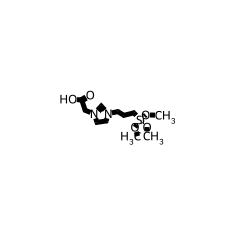 CO[Si](CCCN1C=[N+](CC(=O)O)CC1)(OC)OC